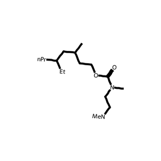 CCCC(CC)CC(C)CCOC(=O)N(C)CCNC